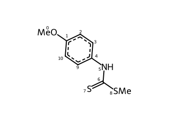 COc1ccc(NC(=S)SC)cc1